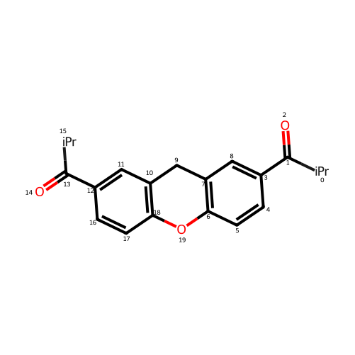 CC(C)C(=O)c1ccc2c(c1)Cc1cc(C(=O)C(C)C)ccc1O2